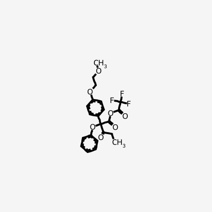 CCC(=O)C(Oc1ccccc1)(C(=O)OC(=O)C(F)(F)F)c1ccc(OCCOC)cc1